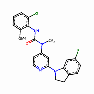 COc1cccc(Cl)c1NC(=O)N(C)c1ccnc(N2CCc3ccc(F)cc32)c1